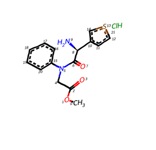 COC(=O)CN(C(=O)[C@@H](N)c1ccsc1)c1ccccc1.Cl